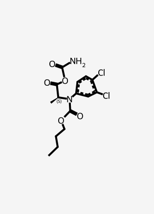 CCCCOC(=O)N(c1ccc(Cl)c(Cl)c1)[C@@H](C)C(=O)OC(N)=O